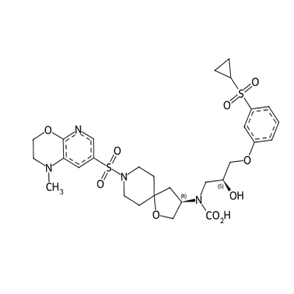 CN1CCOc2ncc(S(=O)(=O)N3CCC4(CC3)C[C@@H](N(C[C@H](O)COc3cccc(S(=O)(=O)C5CC5)c3)C(=O)O)CO4)cc21